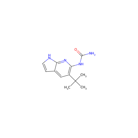 CC(C)(C)c1cc2cc[nH]c2nc1NC(N)=O